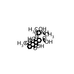 CCN[C@H]1C[C@H](O[C@H]2C[C@H](C(=O)CO)Cc3c(O)c4c(c(O)c32)C(=O)c2c(OC)cccc2C4=O)O[C@@H](C)[C@@H]1O